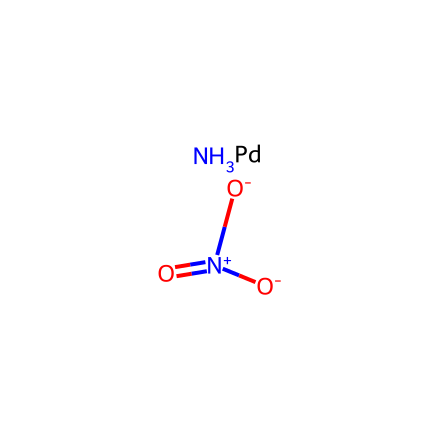 N.O=[N+]([O-])[O-].[Pd]